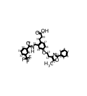 Cc1oc(-c2ccccc2)nc1CCOc1ccc(CCC(=O)O)c(CNC(=O)c2cccc(C(F)(F)F)c2)c1